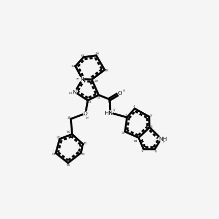 O=C(Nc1ccc2[nH]ccc2c1)c1c(OCc2ccccc2)nn2ccccc12